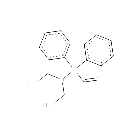 C=C[Si](c1ccccc1)(c1ccccc1)N(CC)CC